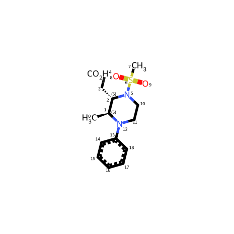 C[C@H]1[C@H](CC(=O)O)N(S(C)(=O)=O)CCN1c1ccccc1